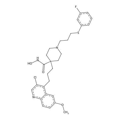 COc1ccc2ncc(Cl)c(CCCC3(C(=O)NO)CCN(CCCSc4cccc(F)c4)CC3)c2c1